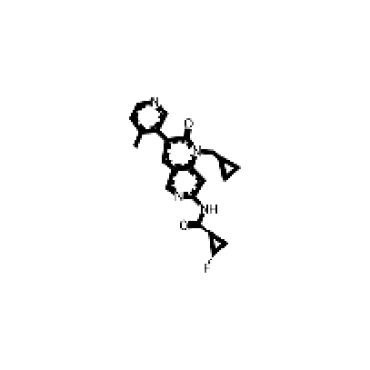 Cc1ccncc1-c1cc2cnc(NC(=O)[C@H]3C[C@@H]3F)cc2n(CC2CC2)c1=O